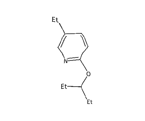 CCc1ccc(OC(CC)CC)nc1